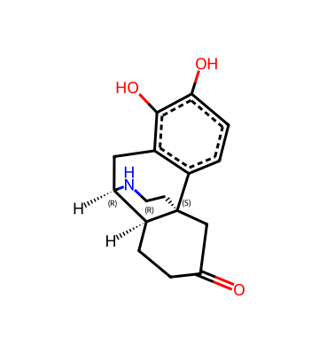 O=C1CC[C@H]2[C@H]3Cc4c(ccc(O)c4O)[C@@]2(CCN3)C1